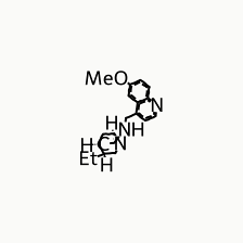 CC[C@H]1CN2CC[C@H]1C[C@H]2NCc1ccnc2ccc(OC)cc12